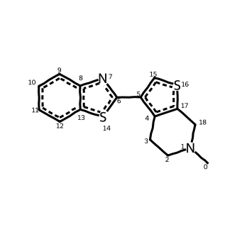 CN1CCc2c(-c3nc4ccccc4s3)csc2C1